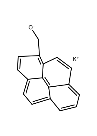 [K+].[O-]Cc1ccc2ccc3cccc4ccc1c2c34